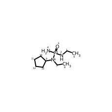 CCNP(N)(=O)N(CC)C1CCCC1